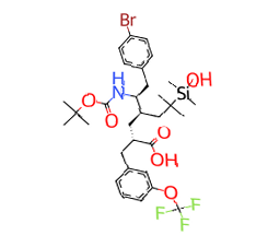 CC(C)(C)OC(=O)N[C@@H](Cc1ccc(Br)cc1)[C@H](C[C@@H](Cc1cccc(OC(F)(F)F)c1)C(=O)O)CC(C)(C)[Si](C)(C)O